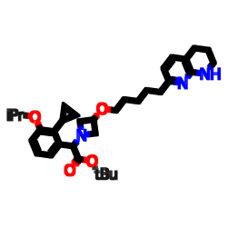 CC(C)Oc1cccc(C(C(=O)OC(C)(C)C)N2CC(OCCCCCc3ccc4c(n3)NCCC4)C2)c1C1CC1